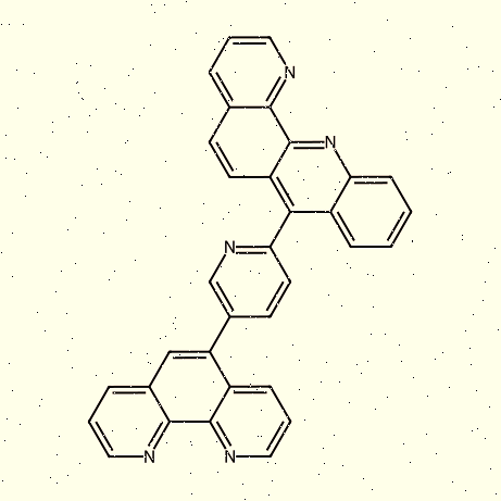 c1cnc2c(c1)cc(-c1ccc(-c3c4ccccc4nc4c3ccc3cccnc34)nc1)c1cccnc12